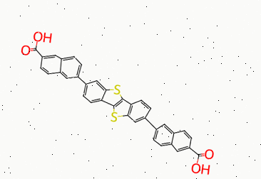 O=C(O)c1ccc2cc(-c3ccc4c(c3)sc3c5ccc(-c6ccc7cc(C(=O)O)ccc7c6)cc5sc43)ccc2c1